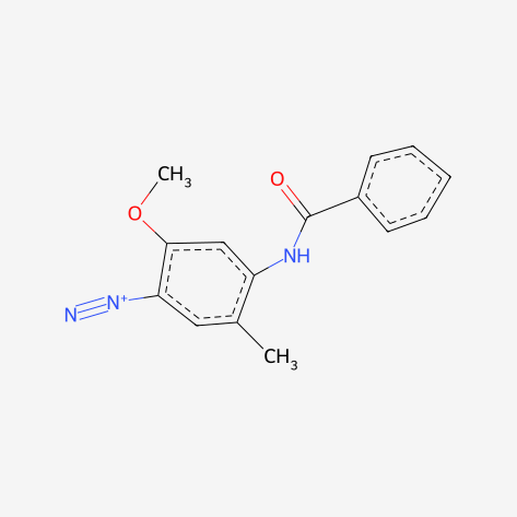 COc1cc(NC(=O)c2ccccc2)c(C)cc1[N+]#N